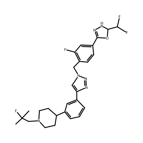 CC(C)(F)CN1CCC(c2cccc(-c3cn(Cc4ccc(C5=NNC(C(F)F)O5)cc4F)nn3)c2)CC1